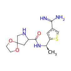 C[C@@H](NC(=O)C1CC2(CN1)OCCO2)c1cc(C(=N)N)cs1